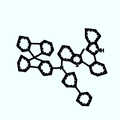 Cc1c(-c2ccccc2-c2cc3ccccc3[nH]2)sc2c(N(c3ccc(-c4ccccc4)cc3)c3ccc4c(c3)C3(c5ccccc5-c5ccccc53)c3ccccc3-4)cccc12